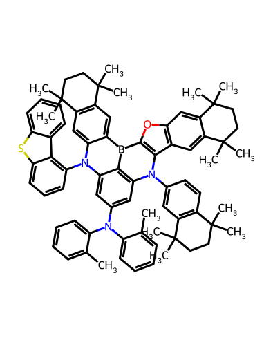 Cc1ccccc1N(c1cc2c3c(c1)N(c1cccc4sc5ccccc5c14)c1cc4c(cc1B3c1oc3cc5c(cc3c1N2c1ccc2c(c1)C(C)(C)CCC2(C)C)C(C)(C)CCC5(C)C)C(C)(C)CCC4(C)C)c1ccccc1C